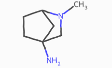 CN1CC2(N)CCC1C2